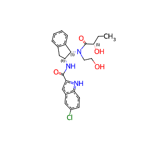 CC[C@H](O)C(=O)N(CCO)[C@H]1c2ccccc2C[C@H]1NC(=O)c1cc2cc(Cl)ccc2[nH]1